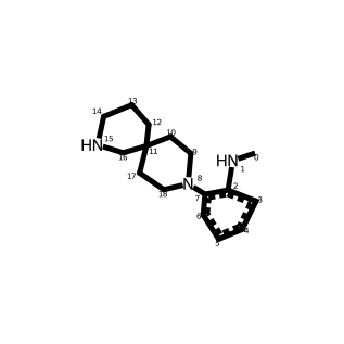 CNc1ccccc1N1CCC2(CCCNC2)CC1